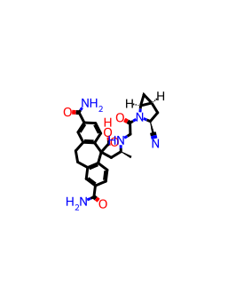 C[C@@H](CC1(C(=O)O)c2ccc(C(N)=O)cc2CCc2cc(C(N)=O)ccc21)NCC(=O)N1[C@H](C#N)C[C@@H]2C[C@@H]21